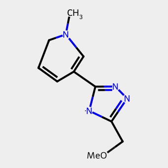 COCC1=NN=C(C2=CN(C)CC=C2)[N]1